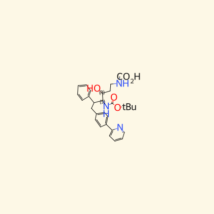 CC(C)(C)OC(=O)N[C@@H](C(Cc1ccc(-c2ccccn2)cc1)c1ccccc1)[C@H](O)CCNC(=O)O